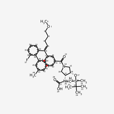 COCCCC=C(c1cccc(C(=O)N2C[C@H](O[Si](C)(C)C(C)(C)C)[C@H](NC(=O)O)C2)c1)c1cccc(F)c1-c1cccc(C)c1